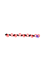 CCOCCOCCOCCOCCOCCOCCOCCON=O